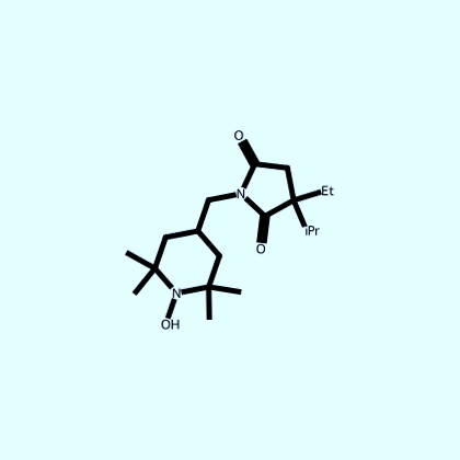 CCC1(C(C)C)CC(=O)N(CC2CC(C)(C)N(O)C(C)(C)C2)C1=O